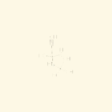 C#CC(C)(C)NC(C)(C)CC